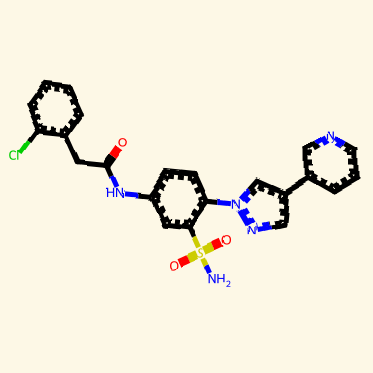 NS(=O)(=O)c1cc(NC(=O)Cc2ccccc2Cl)ccc1-n1cc(-c2cccnc2)cn1